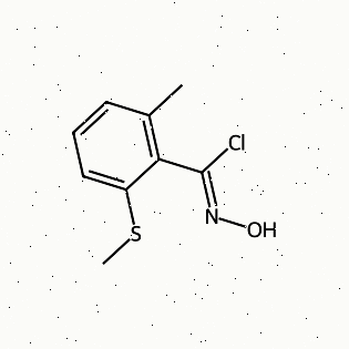 CSc1cccc(C)c1C(Cl)=NO